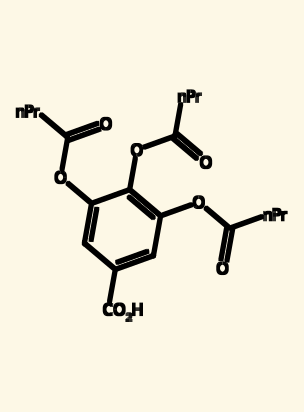 CCCC(=O)Oc1cc(C(=O)O)cc(OC(=O)CCC)c1OC(=O)CCC